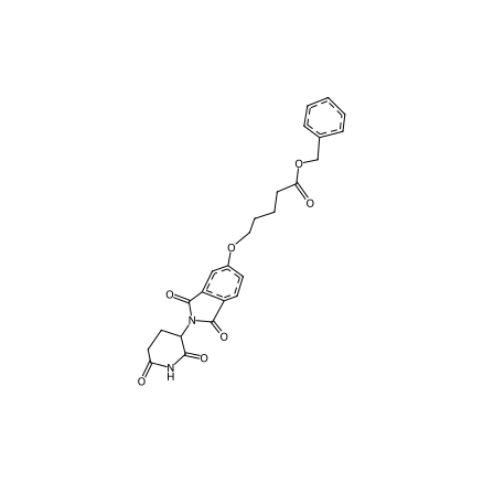 O=C1CCC(N2C(=O)c3ccc(OCCCCC(=O)OCc4ccccc4)cc3C2=O)C(=O)N1